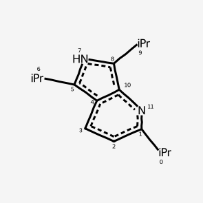 CC(C)c1ccc2c(C(C)C)[nH]c(C(C)C)c2n1